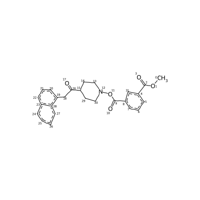 COC(=O)c1cccc(C(=O)ON2CCC(C(=O)Cc3cccc4ccccc34)CC2)c1